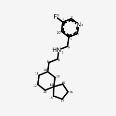 Fc1cncc(CNCCC2CCCC3(CCCC3)C2)c1